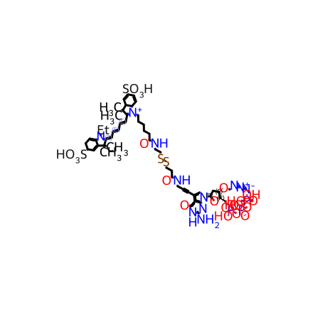 CCN1C2=CCC(S(=O)(=O)O)C=C2C(C)(C)/C1=C/C=C/C=C/C1=[N+](CCCCCC(=O)NCCSSCCC(=O)NCC#Cc2cn([C@H]3C[C@H](OCN=[N+]=[N-])[C@@H](COP(=O)(O)OP(=O)(O)OP(=O)(O)O)O3)c3nc(N)[nH]c(=O)c23)C2C=CC(S(=O)(=O)O)=CC2C1(C)C